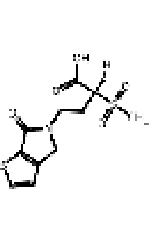 C[C@@](CCN1Cc2ccsc2C1=O)(C(=O)O)S(C)(=O)=O